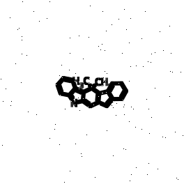 CC1(C)C2=C(C=C3C=CCC=C32)C=C2N=c3ccccc3=C21